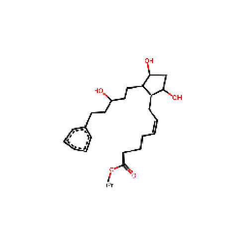 CC(C)OC(=O)CCC/C=C\CC1C(O)CC(O)[C@@H]1CCC(O)CCc1ccccc1